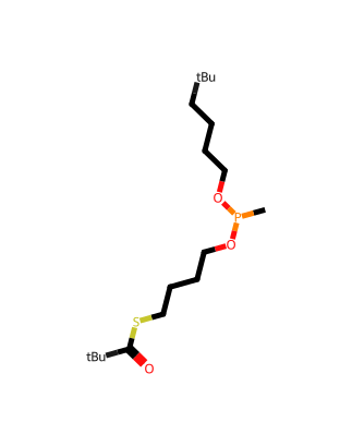 CP(OCCCCSC(=O)C(C)(C)C)OCCCCC(C)(C)C